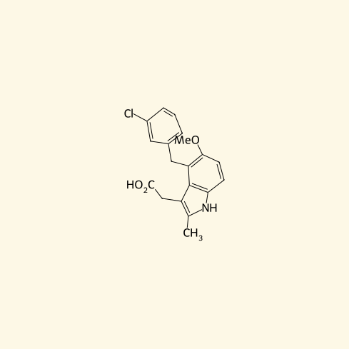 COc1ccc2[nH]c(C)c(CC(=O)O)c2c1Cc1cccc(Cl)c1